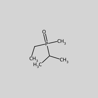 CCP(C)(=O)C(C)C